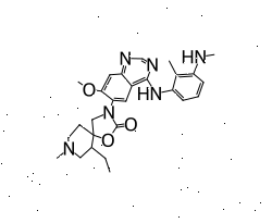 CCC1CN(C)CCC12CN(c1cc3c(Nc4cccc(NC)c4C)ncnc3cc1OC)C(=O)O2